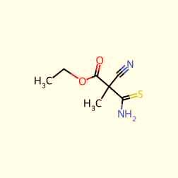 CCOC(=O)C(C)(C#N)C(N)=S